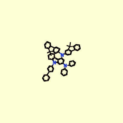 CC1(C)c2ccccc2-c2ccc(N(c3ccc4c(c3)C(C)(C)c3ccccc3-4)c3cc(N(c4ccccc4)c4ccccc4)cc4c3c3ccccc3n4-c3ccc(-c4ccccc4)cc3)cc21